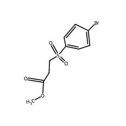 COC(=O)CCS(=O)(=O)c1ccc(Br)cc1